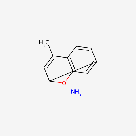 CC1=CC2Oc3cc2ccc31.N